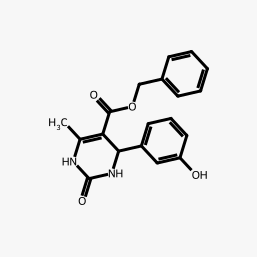 CC1=C(C(=O)OCc2ccccc2)C(c2cccc(O)c2)NC(=O)N1